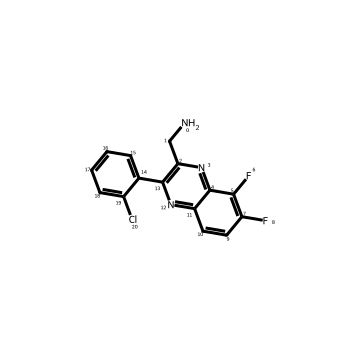 NCc1nc2c(F)c(F)ccc2nc1-c1ccccc1Cl